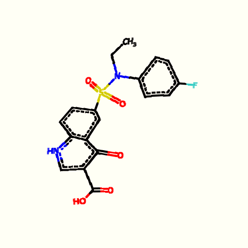 CCN(c1ccc(F)cc1)S(=O)(=O)c1ccc2[nH]cc(C(=O)O)c(=O)c2c1